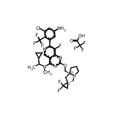 CC(C1CC1)N(C)c1nc(OC[C@@]23CCCN2C[C@@]2(CC2(F)F)C3)nc2c(F)c(-c3cc(N)cc(Cl)c3C(F)(F)F)ncc12.O=C(O)C(F)(F)F